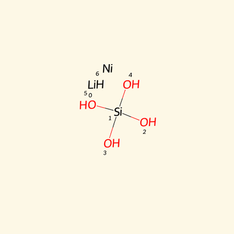 O[Si](O)(O)O.[LiH].[Ni]